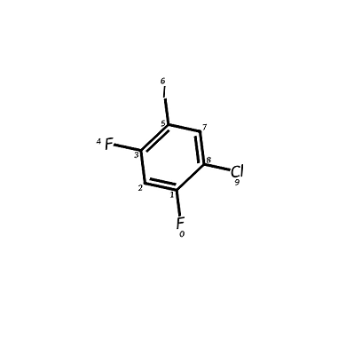 Fc1cc(F)c(I)cc1Cl